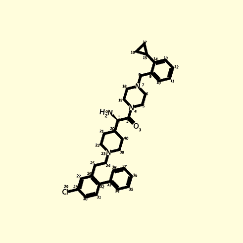 N[C@@H](C(=O)N1CCN(Cc2ccccc2C2CC2)CC1)C1CCN(CCc2cc(Cl)ccc2-c2ccccc2)CC1